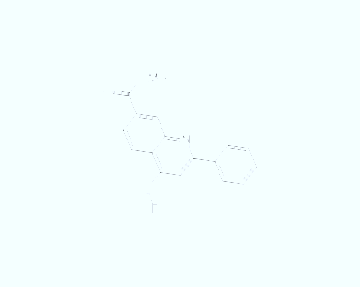 CCOc1cc(-c2ccccc2)nc2cc(C(=O)OC)ccc12